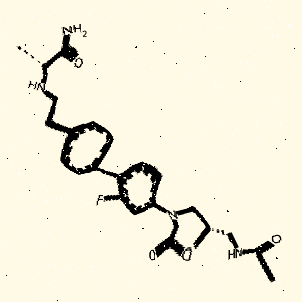 CC(=O)NC[C@H]1CN(c2ccc(-c3ccc(CCN[C@H](C)C(N)=O)cc3)c(F)c2)C(=O)O1